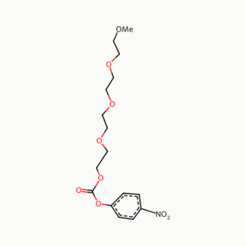 COCCOCCOCCOCCOC(=O)Oc1ccc([N+](=O)[O-])cc1